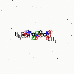 COC(=O)c1cc(F)c(-c2cccc3c2OCN(C(=O)c2c(Cl)cc(N4CC5(CCN5C(=O)OC(C)(C)C)C4)cc2Cl)C3)cc1N1C2CCC1COC2